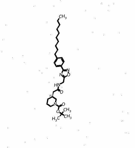 CCCCCCCCCCc1ccc(-c2noc(CNC(=O)C[C@@H]3CCCN(C(=O)OC(C)(C)C)C3)n2)cc1